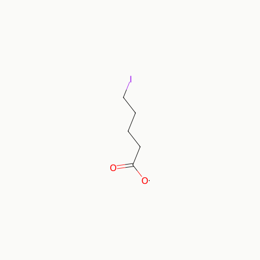 [O]C(=O)CCCCI